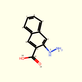 NNc1cc2ccccc2cc1C(=O)O